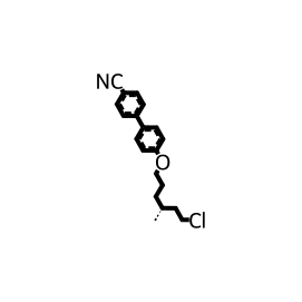 C[C@@H](CCCl)CCCOc1ccc(-c2ccc(C#N)cc2)cc1